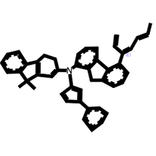 C=C/C(=C\C=CC)c1cccc2c1-c1cccc(N(C3=C=C(c4ccccc4)C=C3)C3=CC4=C(CC3)c3ccccc3C4(C)C)c1C2